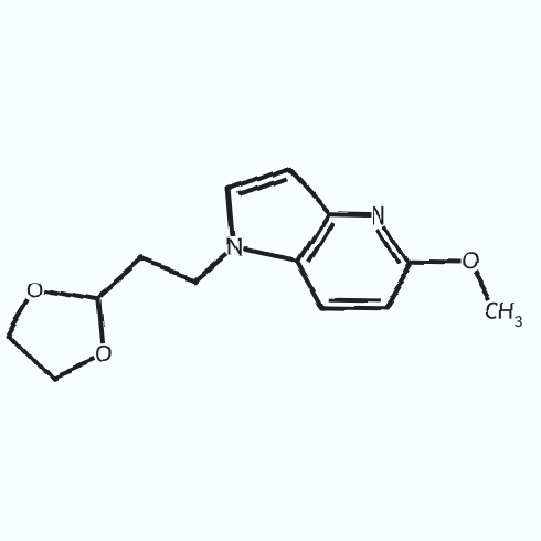 COc1ccc2c(ccn2CCC2OCCO2)n1